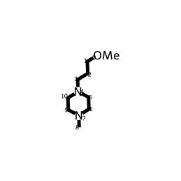 COCCCN1CCN(C)CC1